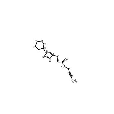 CC#CCOC(=O)/C=C/c1cn(C2CCCCC2)nn1